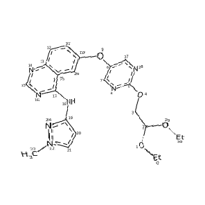 CCOC(COc1ncc(Oc2ccc3ncnc(Nc4ccn(C)n4)c3c2)cn1)OCC